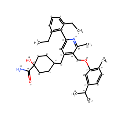 CCc1cccc(CC)c1-c1cc(CC2CCC(O)(C(N)=O)CC2)c(COc2cc(C(C)C)ccc2C)c(C)n1